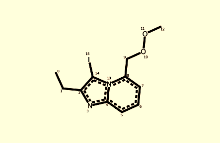 CCc1nc2cccc(COOC)n2c1I